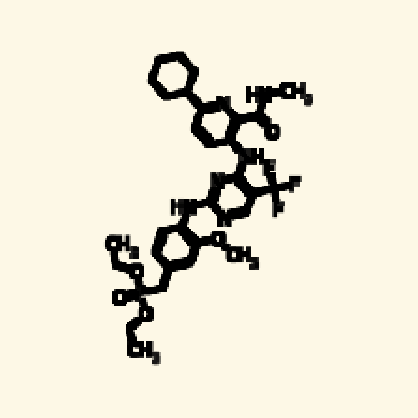 CCOP(=O)(Cc1ccc(Nc2ncc(C(F)(F)F)c(Nc3ccc(C4CCCCC4)nc3C(=O)NC)n2)c(OC)c1)OCC